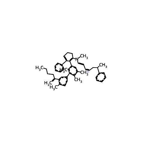 C=C(CCCC)c1cc(-c2c(C)c(C)cc(C3=C(N(C)C=C/C=C\CC(C)c4ccccc4)CCC=C3c3ccccc3)c2C)ccc1C